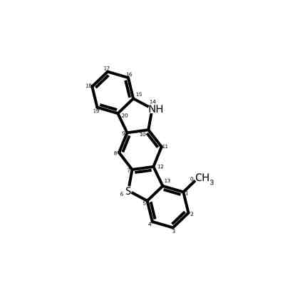 Cc1cccc2sc3cc4c(cc3c12)[nH]c1ccccc14